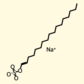 CCCCCCCCCCCCCCC/C=C/OS(=O)(=O)[O-].[Na+]